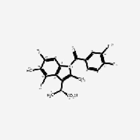 CCOC(=O)[C@@H](C)c1c(C)n(C(=O)c2ccc(F)c(F)c2)c2cc(F)c(O)c(F)c12